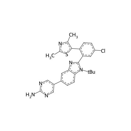 Cc1nc(C)c(-c2ccc(Cl)cc2-c2nc3cc(-c4cnc(N)nc4)ccc3n2C(C)(C)C)s1